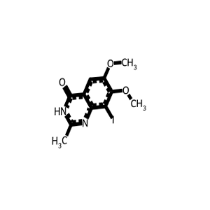 COc1cc2c(=O)[nH]c(C)nc2c(I)c1OC